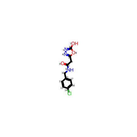 O=C(Cc1nnc(O)o1)NCc1ccc(Cl)cc1